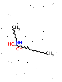 CCCCCCCCCCCCC/C=C/[C@@H](O)[C@H](CO)NCCCCCCCC